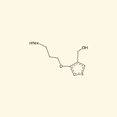 CCCCCCCCCOc1cscc1CO